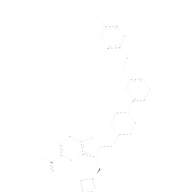 C[C@H](c1nc2ccc(C(=O)O)nc2n1C[C@@H]1CCO1)N1CCN(c2cccc(OCc3ccc(Cl)cc3F)n2)CC1